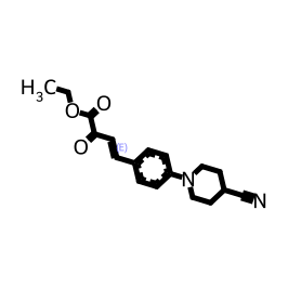 CCOC(=O)C(=O)/C=C/c1ccc(N2CCC(C#N)CC2)cc1